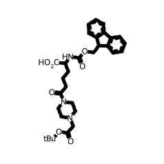 CC(C)(C)OC(=O)CN1CCN(C(=O)CCCC(NC(=O)OCC2c3ccccc3-c3ccccc32)C(=O)O)CC1